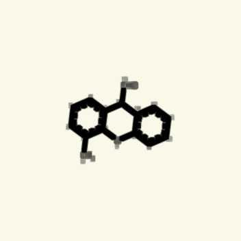 Cc1cccc2c1Oc1ccccc1C2C=O